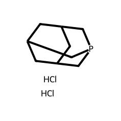 C1C2CC3CC1CP(C2)C3.Cl.Cl